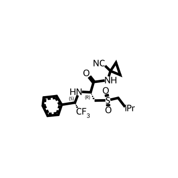 CC(C)CS(=O)(=O)C[C@H](N[C@@H](c1ccccc1)C(F)(F)F)C(=O)NC1(C#N)CC1